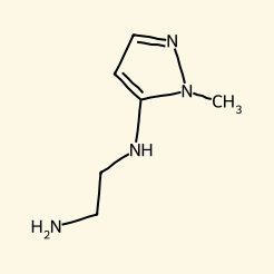 Cn1nccc1NCCN